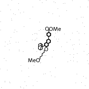 COCCCCCCOc1cc2ccc(-c3ccc(C(=O)OC)cc3)cc2cc1C12CC3CC(CC(C3)C1)C2